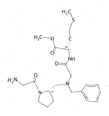 COC(=O)[C@H](CCSC)NC(=O)CN(Cc1ccccc1)C[C@@H]1CCCN1C(=O)CN